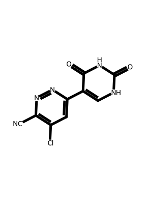 N#Cc1nnc(-c2c[nH]c(=O)[nH]c2=O)cc1Cl